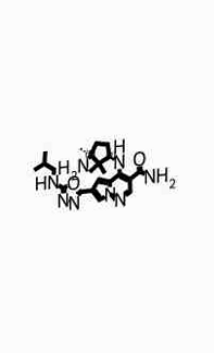 CC(C)CNc1nnc(-c2cc3c(N[C@@H]4CC[C@](C)(N)C4(C)C)c(C(N)=O)cnn3c2)o1